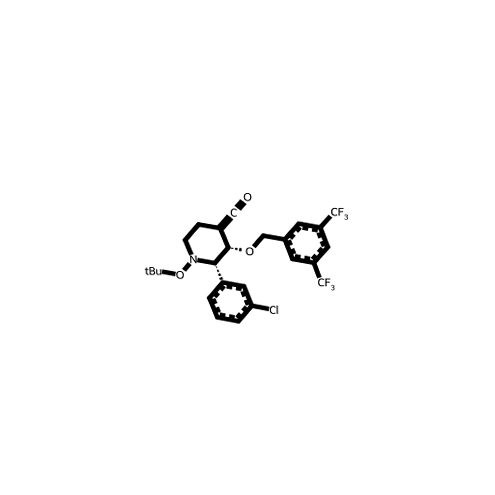 CC(C)(C)ON1CCC(=C=O)[C@H](OCc2cc(C(F)(F)F)cc(C(F)(F)F)c2)[C@@H]1c1cccc(Cl)c1